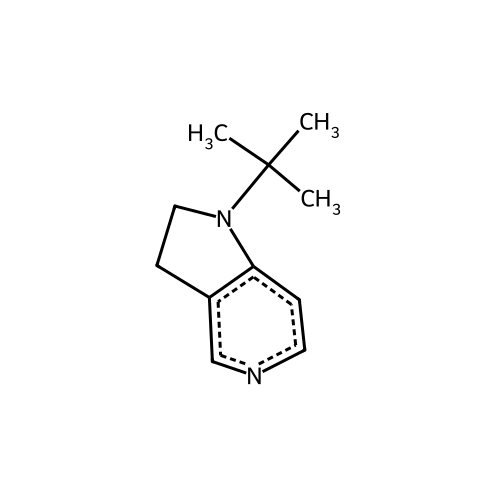 CC(C)(C)N1CCc2cnccc21